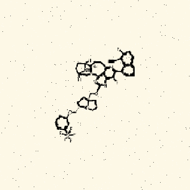 C#Cc1c(F)ccc2cccc(-c3nc4c5c(nc(OC[C@@]67CCCN6[C@H](COc6cccc(S(F)(F)(F)(F)F)c6)CC7)nc5c3F)N3C[C@@H]5CC[C@@H](N5)[C@H]3CC4)c12